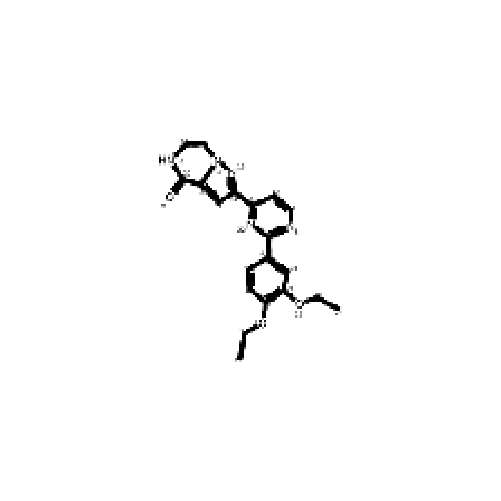 CCOc1ccc(-c2nccc(-c3cc4n(n3)CCNC4=O)n2)cc1OCC